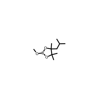 COB1OC(C)(C)C(C)(CC(C)C)O1